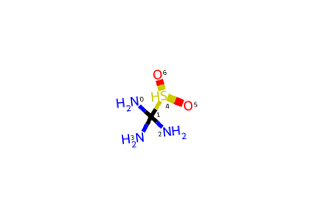 NC(N)(N)[SH](=O)=O